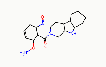 NOC1C=CCC(N=O)C1C(=O)N1CCC2C(C1)NC1CCCCC12